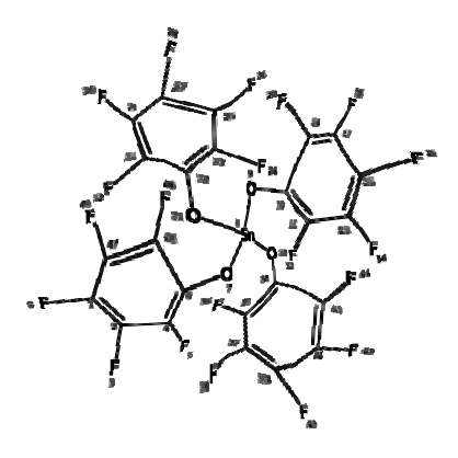 Fc1c(F)c(F)c([O][Sn]([O]c2c(F)c(F)c(F)c(F)c2F)([O]c2c(F)c(F)c(F)c(F)c2F)[O]c2c(F)c(F)c(F)c(F)c2F)c(F)c1F